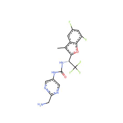 Cc1c([C@@H](NC(=O)Nc2cnc(CN)nc2)C(F)(F)F)oc2c(F)cc(F)cc12